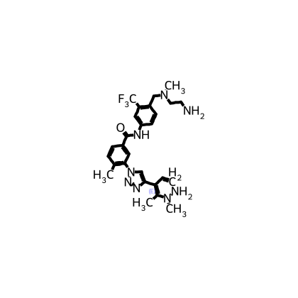 C=C/C(=C(/C)N(C)N)c1cn(-c2cc(C(=O)Nc3ccc(CN(C)CCN)c(C(F)(F)F)c3)ccc2C)nn1